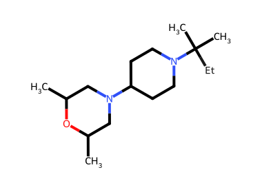 CCC(C)(C)N1CCC(N2CC(C)OC(C)C2)CC1